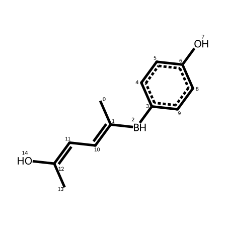 C/C(Bc1ccc(O)cc1)=C\C=C(/C)O